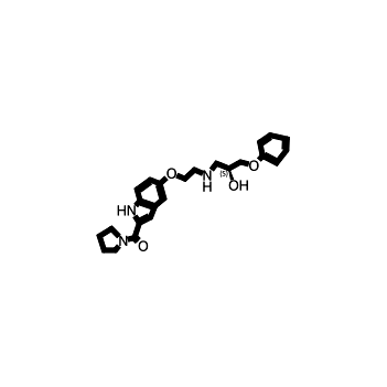 O=C(c1cc2cc(OCCNC[C@H](O)COc3ccccc3)ccc2[nH]1)N1CCCC1